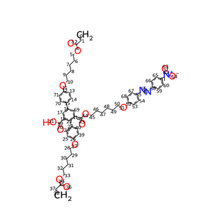 C=CC(=O)OCCCCCCOc1ccc(-c2cc(C(=O)O)c(-c3ccc(OCCCCCCOC(=O)C=C)cc3)c(C(=O)OCCCCCCOc3ccc(N=Nc4ccc([N+](=O)[O-])cc4)cc3)c2)cc1